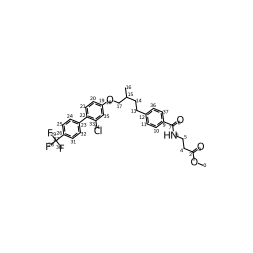 COC(=O)CCNC(=O)c1ccc(CCC(C)COc2ccc(-c3ccc(C(F)(F)F)cc3)c(Cl)c2)cc1